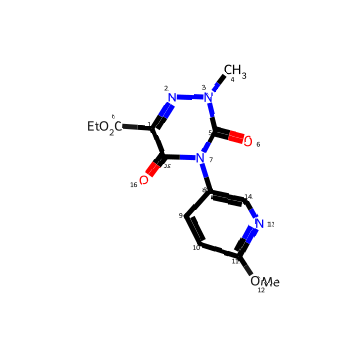 CCOC(=O)c1nn(C)c(=O)n(-c2ccc(OC)nc2)c1=O